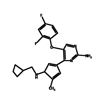 CC1=CC(c2nc(N)ncc2Oc2ccc(F)cc2F)=CC1NCC1CCC1